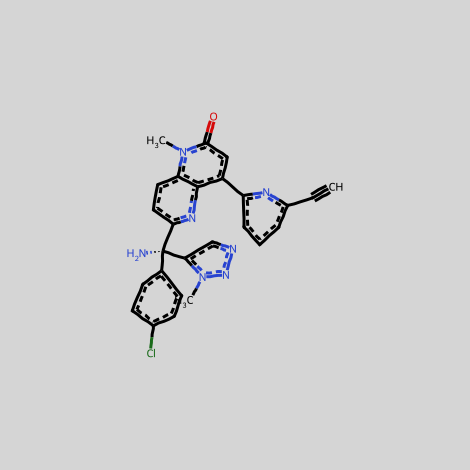 C#Cc1cccc(-c2cc(=O)n(C)c3ccc([C@](N)(c4ccc(Cl)cc4)c4cnnn4C)nc23)n1